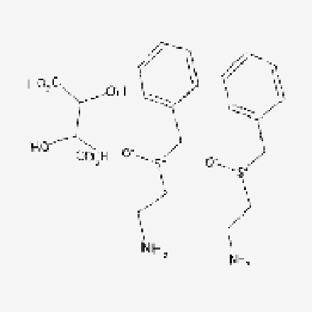 NCC[S+]([O-])Cc1ccccc1.NCC[S+]([O-])Cc1ccccc1.O=C(O)C(O)C(O)C(=O)O